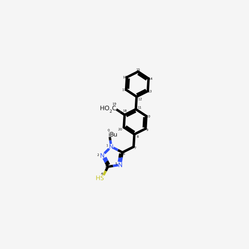 CCC(C)n1nc(S)nc1Cc1ccc(-c2ccccc2)c(C(=O)O)c1